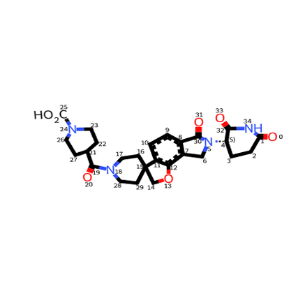 O=C1CC[C@H](N2Cc3c(ccc4c3OCC43CCN(C(=O)C4CCN(C(=O)O)CC4)CC3)C2=O)C(=O)N1